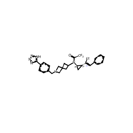 CC/C(=C\c1ccccc1)[C@@H]1C[C@H]1N(C(=O)C(F)(F)F)C1CC2(C1)CN(Cc1ccc(-c3nnn[nH]3)cc1)C2